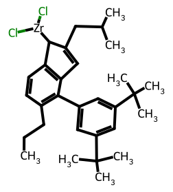 CCCc1ccc2c(c1-c1cc(C(C)(C)C)cc(C(C)(C)C)c1)C=C(CC(C)C)[CH]2[Zr]([Cl])[Cl]